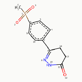 CS(=O)(=O)c1ccc(C2=NNC(=O)CC2)cc1